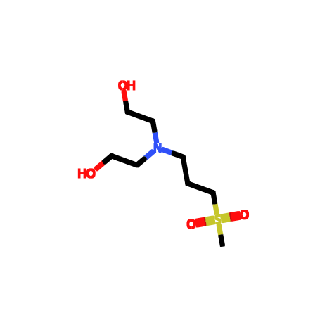 CS(=O)(=O)CCCN(CCO)CCO